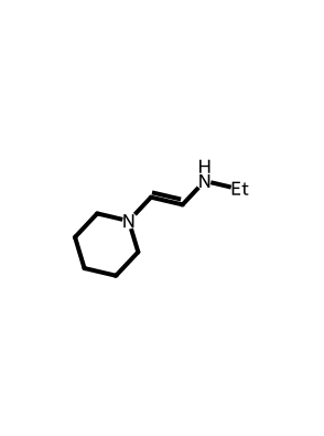 CCNC=CN1CCCCC1